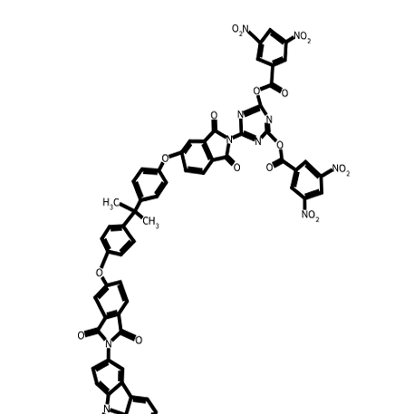 CCn1c2ccccc2c2cc(N3C(=O)c4ccc(Oc5ccc(C(C)(C)c6ccc(Oc7ccc8c(c7)C(=O)N(c7nc(OC(=O)c9cc([N+](=O)[O-])cc([N+](=O)[O-])c9)nc(OC(=O)c9cc([N+](=O)[O-])cc([N+](=O)[O-])c9)n7)C8=O)cc6)cc5)cc4C3=O)ccc21